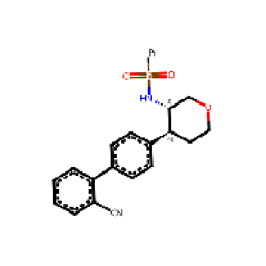 CC(C)S(=O)(=O)N[C@@H]1COCC[C@H]1c1ccc(-c2ccccc2C#N)cc1